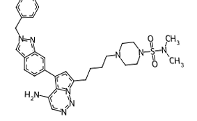 CN(C)S(=O)(=O)N1CCN(CCCCc2cc(-c3ccc4cn(Cc5ccccc5)nc4c3)c3c(N)cnnn23)CC1